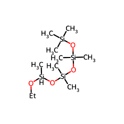 CCO[SiH](C)O[Si](C)(C)O[Si](C)(C)O[Si](C)(C)C